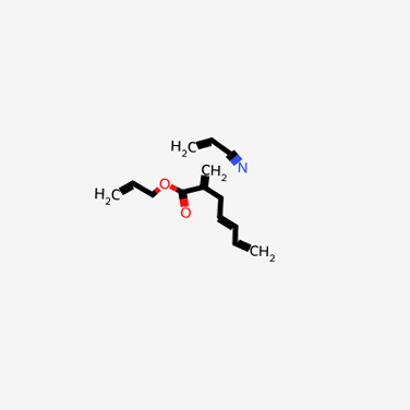 C=CC#N.C=CC=CCC(=C)C(=O)OCC=C